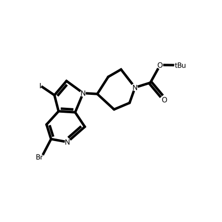 CC(C)(C)OC(=O)N1CCC(n2cc(I)c3cc(Br)ncc32)CC1